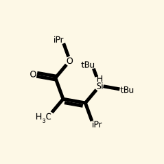 CC(C(=O)OC(C)C)=C(C(C)C)[SiH](C(C)(C)C)C(C)(C)C